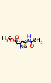 BC(=O)Nc1cc(CC(=O)OC)ns1